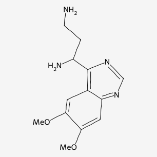 COc1cc2ncnc(C(N)CCN)c2cc1OC